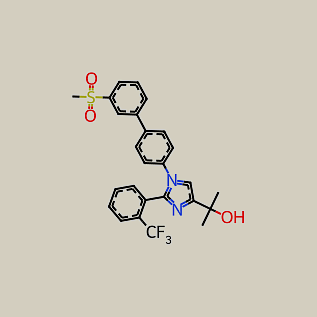 CC(C)(O)c1cn(-c2ccc(-c3cccc(S(C)(=O)=O)c3)cc2)c(-c2ccccc2C(F)(F)F)n1